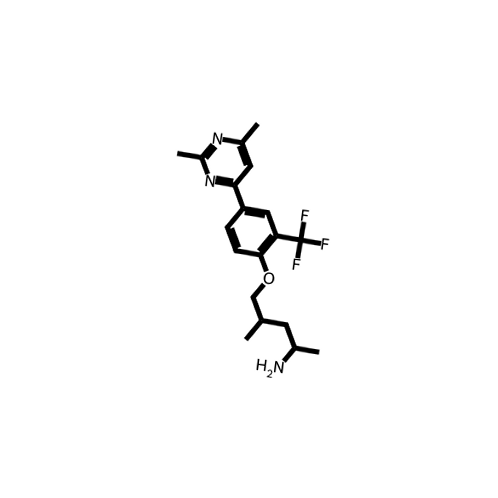 Cc1cc(-c2ccc(OCC(C)CC(C)N)c(C(F)(F)F)c2)nc(C)n1